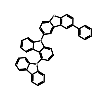 c1ccc(-c2ccc3sc4ccc(-n5c6ccccc6c6c(-n7c8ccccc8c8ccccc87)cccc65)cc4c3c2)cc1